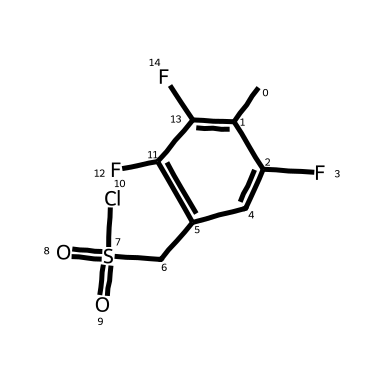 Cc1c(F)cc(CS(=O)(=O)Cl)c(F)c1F